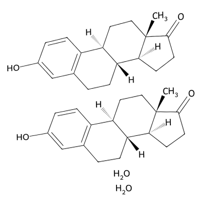 C[C@]12CC[C@@H]3c4ccc(O)cc4CC[C@H]3[C@@H]1CCC2=O.C[C@]12CC[C@@H]3c4ccc(O)cc4CC[C@H]3[C@@H]1CCC2=O.O.O